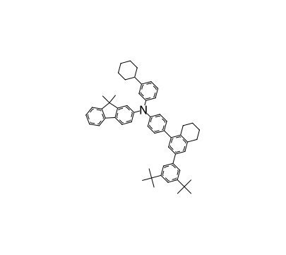 CC(C)(C)c1cc(-c2cc3c(c(-c4ccc(N(c5cccc(C6CCCCC6)c5)c5ccc6c(c5)C(C)(C)c5ccccc5-6)cc4)c2)CCCC3)cc(C(C)(C)C)c1